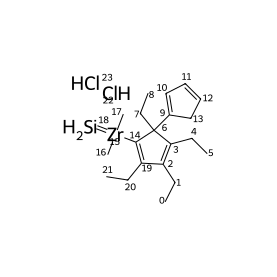 CCC1=C(CC)C(CC)(C2=CC=CC2)[C]([Zr]([CH3])([CH3])=[SiH2])=C1CC.Cl.Cl